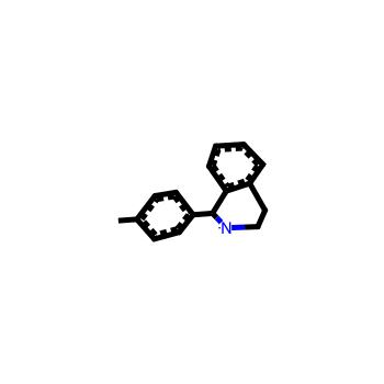 Cc1ccc(C2[N]CCc3ccccc32)cc1